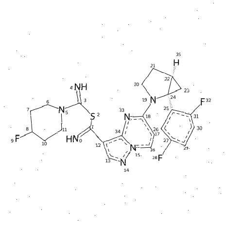 N=C(SC(=N)N1CCC(F)CC1)c1cnn2ccc(N3CC[C@H]4C[C@]43c3cc(F)ccc3F)nc12